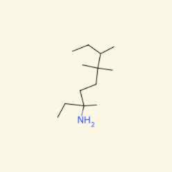 CCC(C)C(C)(C)CCC(C)(N)CC